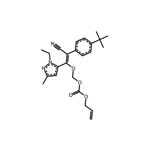 C=CCOC(=O)OCO/C(=C(/C#N)c1ccc(C(C)(C)C)cc1)c1cc(C)nn1CC